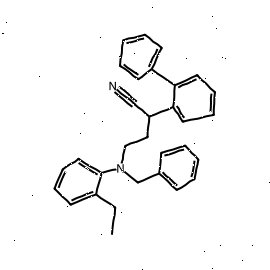 CCc1ccccc1N(CCC(C#N)c1ccccc1-c1ccccc1)Cc1ccccc1